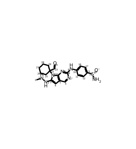 CNNc1cc2cnc(Nc3ccc([S+](N)[O-])cc3)nc2n1C1(C=O)CCCCC1